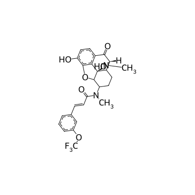 CN(C(=O)/C=C/c1cccc(OC(F)(F)F)c1)C1CC[C@@]2(O)[C@H]3C(=O)c4ccc(O)c5c4[C@@]2(CCN3C)C1O5